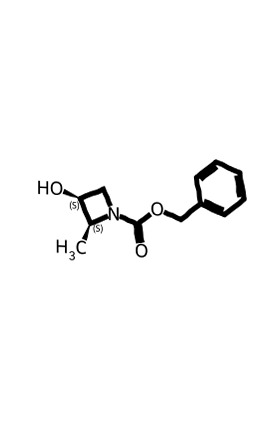 C[C@H]1[C@@H](O)CN1C(=O)OCc1ccccc1